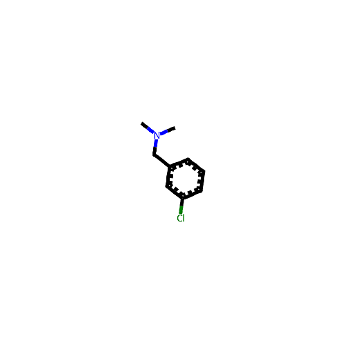 CN(C)Cc1cccc(Cl)c1